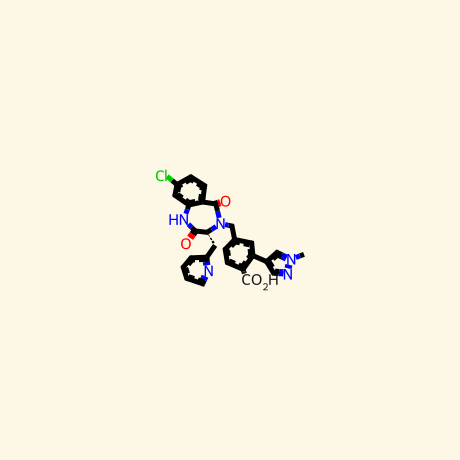 Cn1cc(-c2cc(CN3C(=O)c4ccc(Cl)cc4NC(=O)[C@H]3Cc3ccccn3)ccc2C(=O)O)cn1